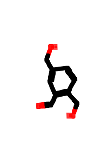 O=Cc1cc(CO)ccc1CO